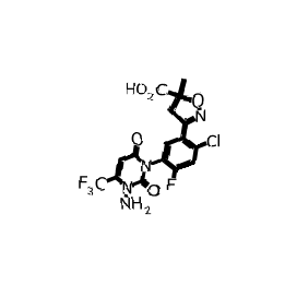 CC1(C(=O)O)CC(c2cc(-n3c(=O)cc(C(F)(F)F)n(N)c3=O)c(F)cc2Cl)=NO1